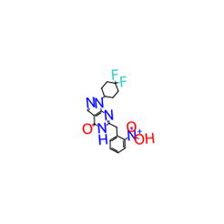 O=c1[nH]c(Cc2ccccc2[N+](=O)O)nc2c1cnn2C1CCC(F)(F)CC1